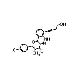 CN(Cc1ccc(Cl)cc1)C(=O)c1n[nH]c2c(C#CCCO)cccc2c1=O